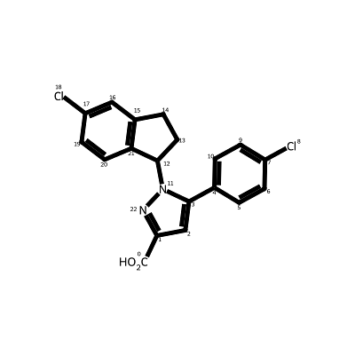 O=C(O)c1cc(-c2ccc(Cl)cc2)n(C2CCc3cc(Cl)ccc32)n1